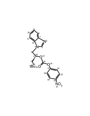 CC(C)(C)C[C@@H](Cn1cnc2ccccc21)OC(=O)Oc1ccc([N+](=O)[O-])cc1